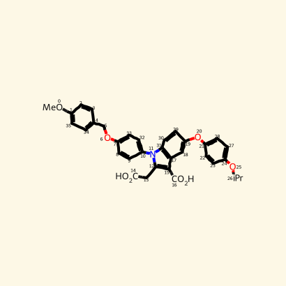 COc1ccc(COc2ccc(-n3c(CC(=O)O)c(C(=O)O)c4cc(Oc5ccc(OC(C)C)cc5)ccc43)cc2)cc1